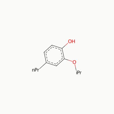 CCCc1ccc(O)c(OC(C)C)c1